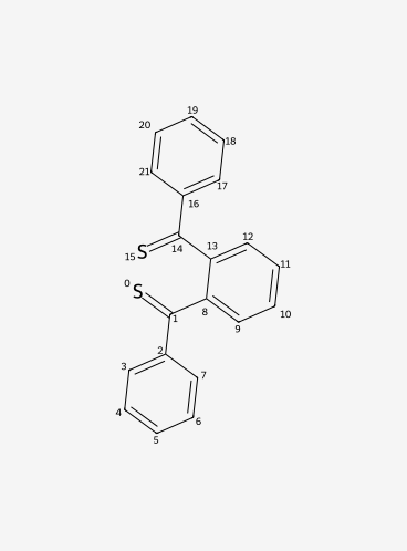 S=C(c1ccccc1)c1ccccc1C(=S)c1ccccc1